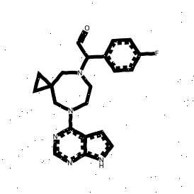 O=CC(c1ccc(F)cc1)N1CCN(c2ncnc3[nH]ccc23)CC2(CC2)C1